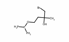 CC(O)(CBr)CCOP(P)P